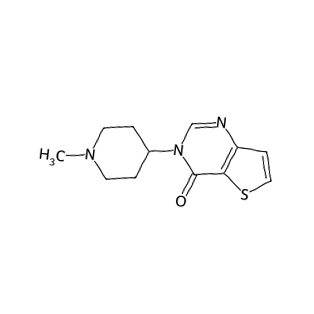 CN1CCC(n2cnc3ccsc3c2=O)CC1